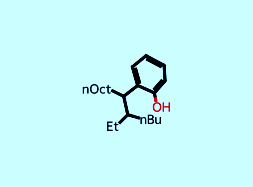 CCCCCCCCC(c1ccccc1O)C(CC)CCCC